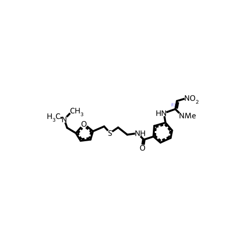 CN/C(=C\[N+](=O)[O-])Nc1cccc(C(=O)NCCSCc2ccc(CN(C)C)o2)c1